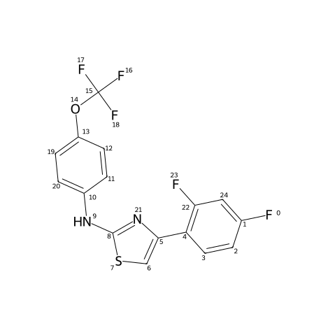 Fc1ccc(-c2csc(Nc3ccc(OC(F)(F)F)cc3)n2)c(F)c1